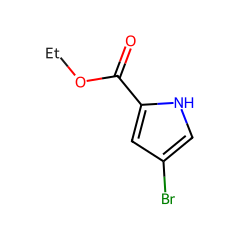 CCOC(=O)c1cc(Br)c[nH]1